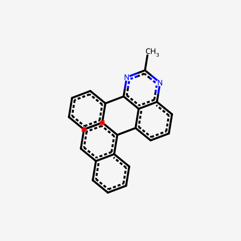 Cc1nc(-c2ccccc2)c2c(-c3cccc4ccccc34)cccc2n1